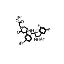 CC(=O)N[C@@H](Cc1cc(F)cc(F)c1)[C@H](O)CN[C@@]1(c2cccc(C(C)C)c2)CCN(CC(=O)OC(C)C)C(=O)C1